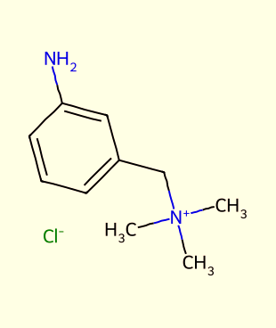 C[N+](C)(C)Cc1cccc(N)c1.[Cl-]